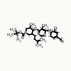 C=C(C)CCC1CN(C(=O)OC(C)(C)C)CC(C)C1Oc1ncnc(NC2CC=C(C#N)C=C2Cl)c1C